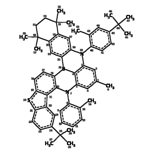 Cc1cc2c3c(c1)N(c1ccccc1C)c1c(ccc4sc5ccc(C(C)(C)C)cc5c14)B3c1cc3c(cc1N2c1ccc(C(C)(C)C)cc1C)C(C)(C)CCC3(C)C